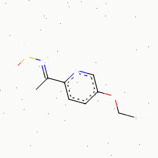 CCCC(C)COc1ccc(/C(C)=N/[S@+]([O-])C(C)(C)C)nc1